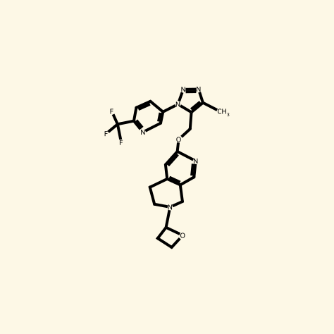 Cc1nnn(-c2ccc(C(F)(F)F)nc2)c1COc1cc2c(cn1)CN(C1CCO1)CC2